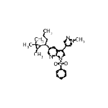 CCCC(c1cnc2c(c1)c(-c1cnn(C)c1)cn2S(=O)(=O)c1ccccc1)C1C(C)C1(C)C